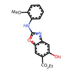 CCOC(=O)c1cc2oc(Nc3ccccc3OC)nc2cc1O